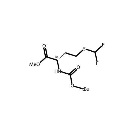 COC(=O)[C@H](CCSC(F)F)NC(=O)OC(C)(C)C